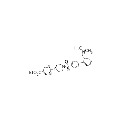 CCOC(=O)c1cnc(N2CCN(S(=O)(=O)c3ccc(-c4ccccc4CN(C)C)cc3)CC2)nc1